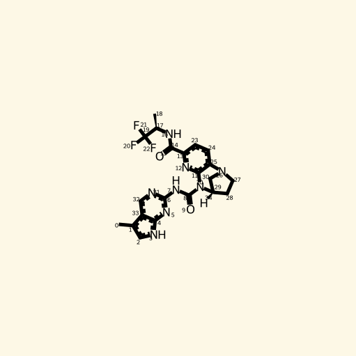 Cc1c[nH]c2nc(NC(=O)N3c4nc(C(=O)N[C@H](C)C(F)(F)F)ccc4N4CC[C@H]3C4)ncc12